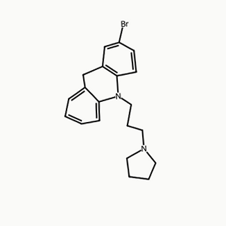 Brc1ccc2c(c1)Cc1ccccc1N2CCCN1CCCC1